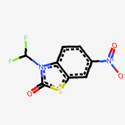 O=c1sc2cc([N+](=O)[O-])ccc2n1C(F)F